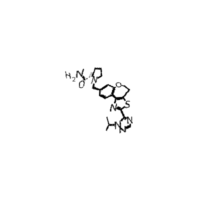 CC(C)n1ncnc1-c1nc2c(s1)CCOc1cc(CN3CCC[C@H]3C(N)=O)ccc1-2